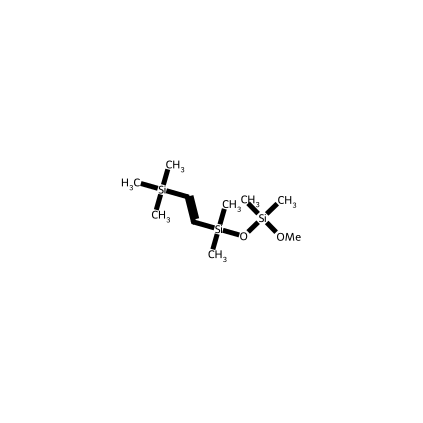 CO[Si](C)(C)O[Si](C)(C)C=C[Si](C)(C)C